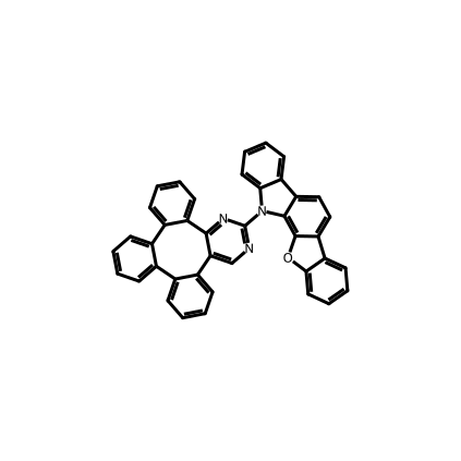 c1ccc2c(c1)-c1ccccc1-c1cnc(-n3c4ccccc4c4ccc5c6ccccc6oc5c43)nc1-c1ccccc1-2